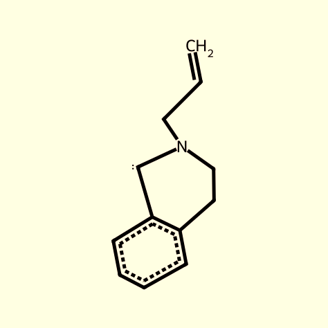 C=CCN1[C]c2ccccc2CC1